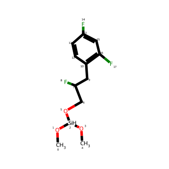 CO[SiH](OC)OCC(F)Cc1ccc(F)cc1F